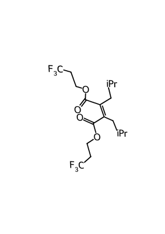 CC(C)C/C(C(=O)OCCC(F)(F)F)=C(\CC(C)C)C(=O)OCCC(F)(F)F